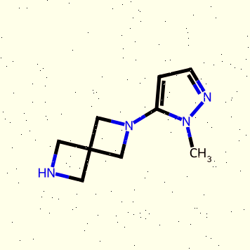 Cn1nccc1N1CC2(CNC2)C1